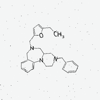 CCc1ccc(CN2Cc3ccccc3N3CCN(Cc4ccccc4)CC3C2)o1